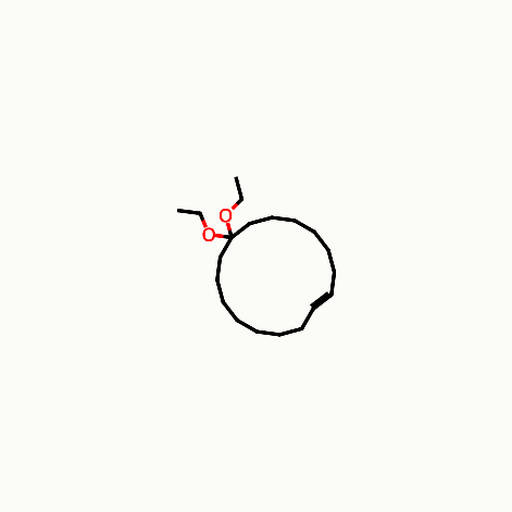 CCOC1(OCC)CCCCCC/C=C/CCCCCCC1